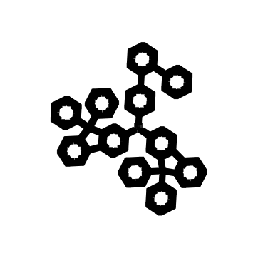 c1ccc(-c2ccccc2-c2ccc(N(c3ccc4c(c3)C(c3ccccc3)(c3ccccc3)c3ccccc3-4)c3ccc4c(c3)C(c3ccccc3)(c3ccccc3)c3ccccc3-4)cc2)cc1